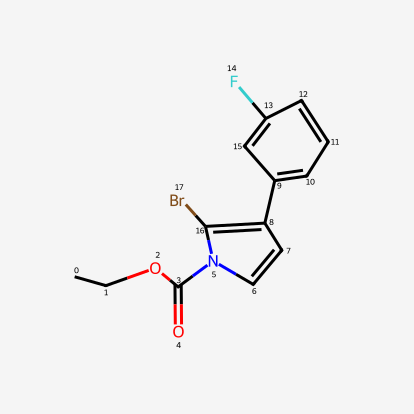 CCOC(=O)n1ccc(-c2cccc(F)c2)c1Br